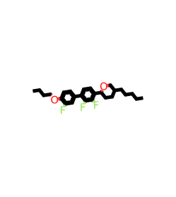 CCCCCC1CCC(c2ccc(-c3ccc(OCCCC)c(F)c3)c(F)c2F)OC1